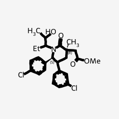 CCC(C(C)O)N1C(=O)[C@@](C)(CC(=O)OC)CC(c2cccc(Cl)c2)[C@H]1c1ccc(Cl)cc1